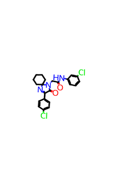 O=C(CN1C(=O)C(c2ccc(Cl)cc2)=NC12CCCCC2)Nc1cccc(Cl)c1